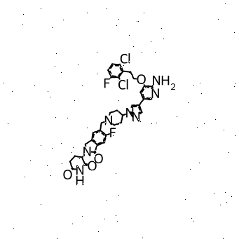 Nc1ncc(-c2cnn(C3CCN(Cc4cc5c(cc4F)C(=O)N([C@@H]4CCC(=O)NC4=O)C5)CC3)c2)cc1OCCc1c(Cl)ccc(F)c1Cl